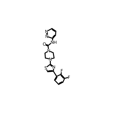 O=C(Nc1cccnn1)N1CCN(c2nc(-c3cccc(F)c3F)cs2)CC1